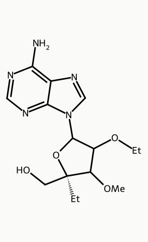 CCOC1C(n2cnc3c(N)ncnc32)O[C@](CC)(CO)C1OC